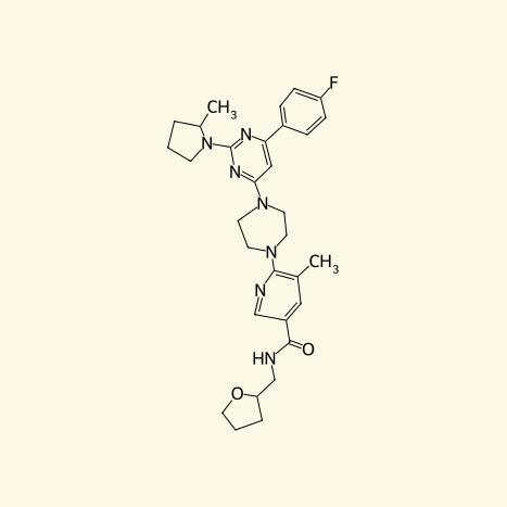 Cc1cc(C(=O)NCC2CCCO2)cnc1N1CCN(c2cc(-c3ccc(F)cc3)nc(N3CCCC3C)n2)CC1